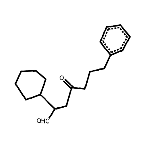 O=CC(CC(=O)CCCc1ccccc1)C1CCCCC1